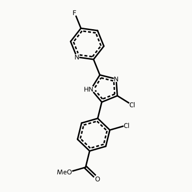 COC(=O)c1ccc(-c2[nH]c(-c3ccc(F)cn3)nc2Cl)c(Cl)c1